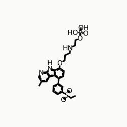 CCS(=O)(=O)c1cccc(-c2ccc(OCCCNCCOP(=O)(O)O)c3[nH]c4ncc(C)cc4c23)c1